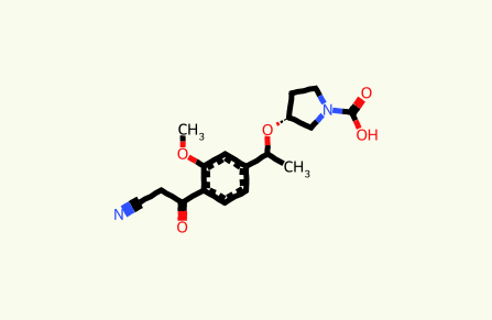 COc1cc(C(C)O[C@@H]2CCN(C(=O)O)C2)ccc1C(=O)CC#N